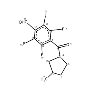 CC1CCN(C(=O)c2c(F)c(F)c(C=O)c(F)c2F)C1